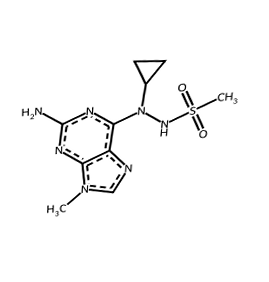 Cn1cnc2c(N(NS(C)(=O)=O)C3CC3)nc(N)nc21